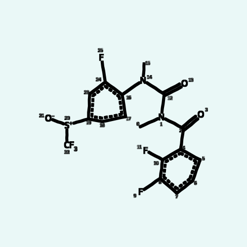 CN(C(=O)c1cccc(F)c1F)C(=O)N(C)c1ccc([S+]([O-])C(F)(F)F)cc1F